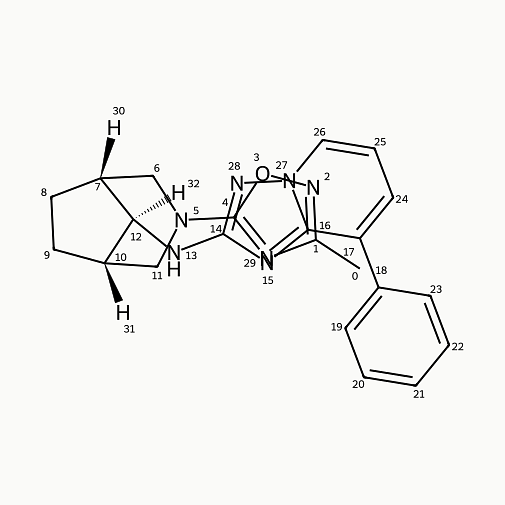 Cc1noc(N2C[C@H]3CC[C@@H](C2)[C@@H]3Nc2nc3c(-c4ccccc4)cccn3n2)n1